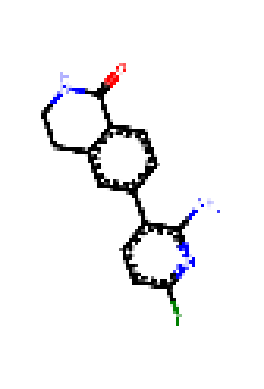 Nc1nc(F)ccc1-c1ccc2c(c1)CCNC2=O